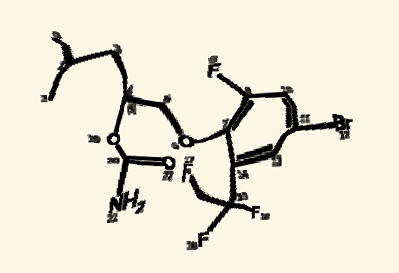 CC(C)C[C@@H](COc1c(F)cc(Br)cc1C(F)(F)F)OC(N)=O